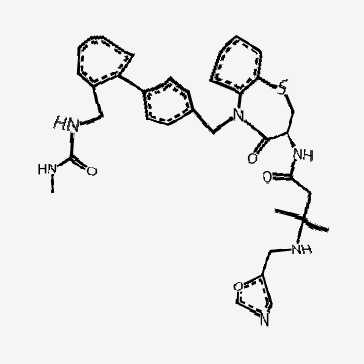 CNC(=O)NCc1ccccc1-c1ccc(CN2C(=O)[C@H](NC(=O)CC(C)(C)NCc3cnco3)CSc3ccccc32)cc1